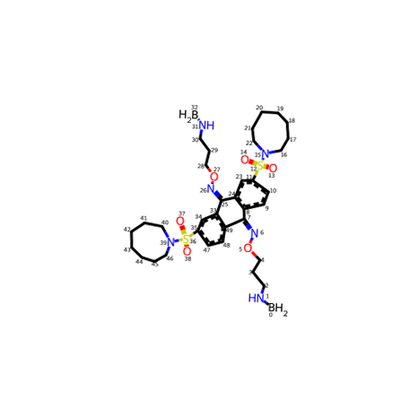 BNCCCON=C1c2ccc(S(=O)(=O)N3CCCCCCC3)cc2C(=NOCCCNB)c2cc(S(=O)(=O)N3CCCCCCC3)ccc21